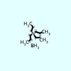 B.CCC[N+](CCC)(CCC)CCC